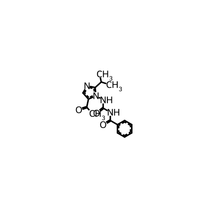 CC(=O)c1cnc(C(C)C)n1NC(=O)NC(=O)c1ccccc1